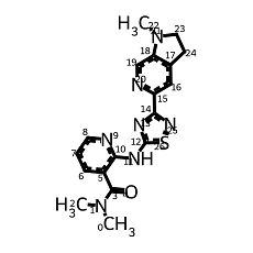 CN(C)C(=O)c1cccnc1Nc1nc(-c2cc3c(cn2)N(C)CC3)ns1